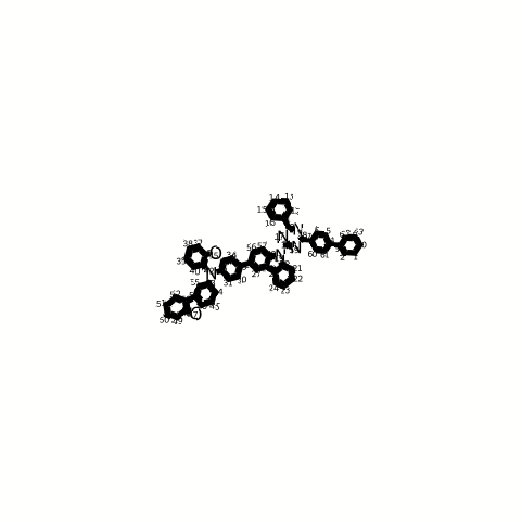 c1ccc(-c2ccc(-c3nc(-c4ccccc4)nc(-n4c5ccccc5c5cc(-c6ccc7c(c6)Oc6ccccc6N7c6ccc7oc8ccccc8c7c6)ccc54)n3)cc2)cc1